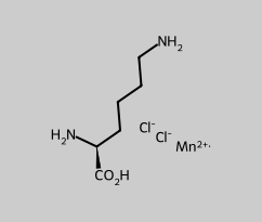 NCCCC[C@H](N)C(=O)O.[Cl-].[Cl-].[Mn+2]